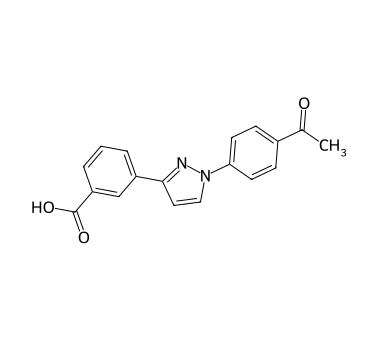 CC(=O)c1ccc(-n2ccc(-c3cccc(C(=O)O)c3)n2)cc1